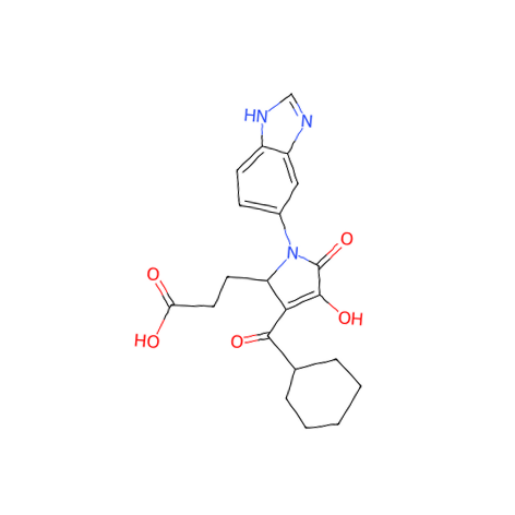 O=C(O)CCC1C(C(=O)C2CCCCC2)=C(O)C(=O)N1c1ccc2[nH]cnc2c1